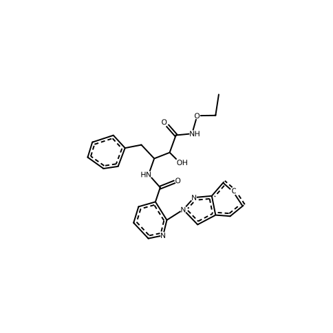 CCONC(=O)C(O)C(Cc1ccccc1)NC(=O)c1cccnc1-n1cc2ccccc2n1